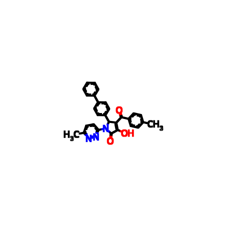 Cc1ccc(C(=O)C2=C(O)C(=O)N(c3ccc(C)nn3)C2c2ccc(-c3ccccc3)cc2)cc1